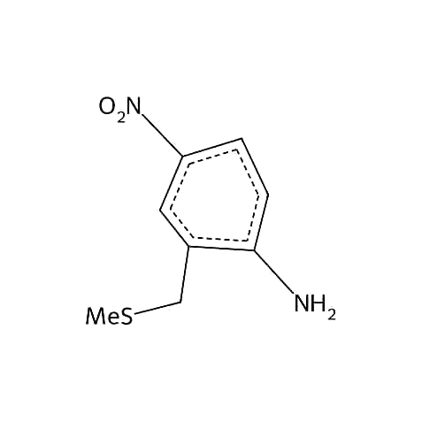 CSCc1cc([N+](=O)[O-])ccc1N